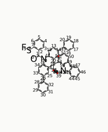 O=C(c1ccccc1SF)N1c2ccc(-c3ccccc3)cc2C2(c3cc(-c4ccccc4)ccc31)c1ccccc1-n1c3ccccc3c3cccc2c31